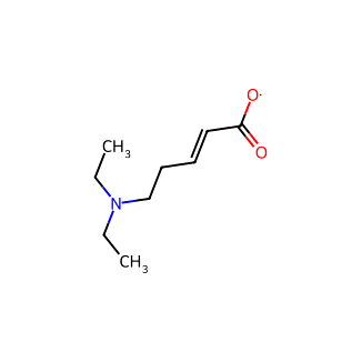 CCN(CC)CCC=CC([O])=O